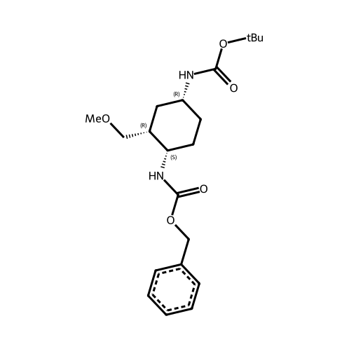 COC[C@@H]1C[C@H](NC(=O)OC(C)(C)C)CC[C@@H]1NC(=O)OCc1ccccc1